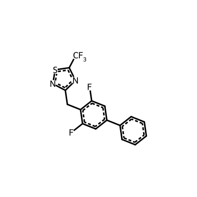 Fc1cc(-c2ccccc2)cc(F)c1Cc1nsc(C(F)(F)F)n1